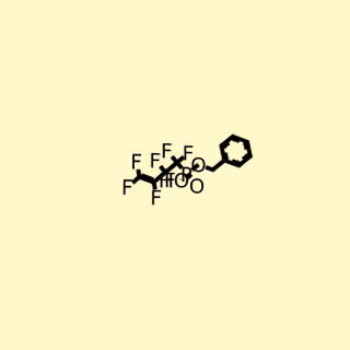 O=P(O)(OCc1ccccc1)C(F)(F)C(F)(F)C(F)=C(F)F